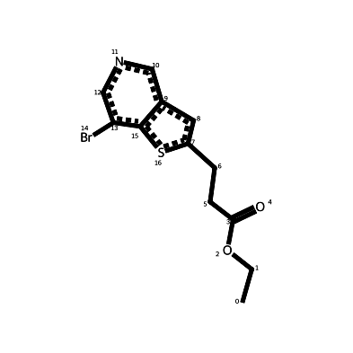 CCOC(=O)CCc1cc2cncc(Br)c2s1